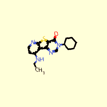 CCNc1ccnc2sc3c(=O)n(C4CCCCC4)cnc3c12